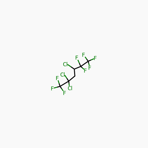 FC(F)(F)C(Cl)(Cl)CC(Cl)C(F)(F)C(F)(F)F